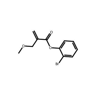 C=C(COC)C(=O)Oc1ccccc1Br